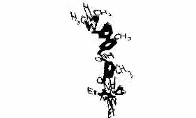 CCc1nc2c(cnn2CC)c(NC2CCOCC2)c1CNC(=O)c1cc(C)cc(C(=O)NCc2ccc(C)c(-c3cccc(CN4C[C@@H](C)N[C@@H](C)C4)c3)c2)c1